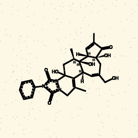 CC1=C[C@H]2[C@@]3(O)[C@H](C)CC4(O)C(=C(C)Cn5c(=O)n(-c6ccccc6)c(=O)n54)[C@@H]3C=C(CO)C[C@]2(O)C1=O